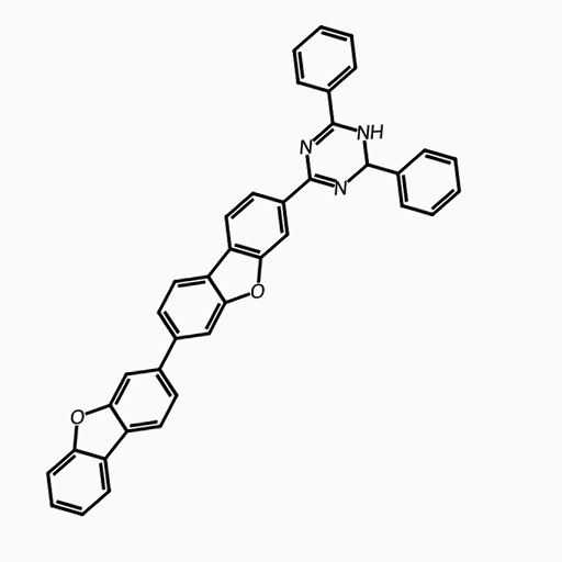 c1ccc(C2=NC(c3ccc4c(c3)oc3cc(-c5ccc6c(c5)oc5ccccc56)ccc34)=NC(c3ccccc3)N2)cc1